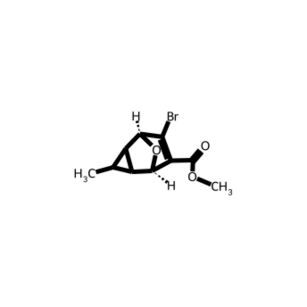 COC(=O)C1=C(Br)[C@H]2O[C@@H]1C1C(C)C12